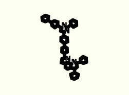 c1ccc(-c2ccc(-c3cc(-c4ccc(-c5ccc(-c6ccc7ccc8c(-c9ccccc9)cc(-c9ccccc9)nc8c7n6)cc5)cc4)nc(-c4ccccc4)n3)cc2)cc1